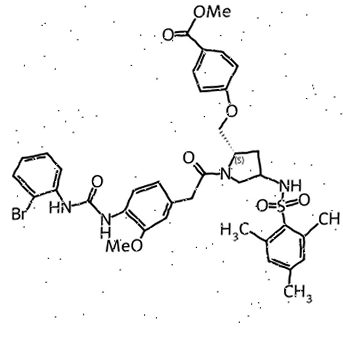 COC(=O)c1ccc(OC[C@@H]2CC(NS(=O)(=O)c3c(C)cc(C)cc3C)CN2C(=O)Cc2ccc(NC(=O)Nc3ccccc3Br)c(OC)c2)cc1